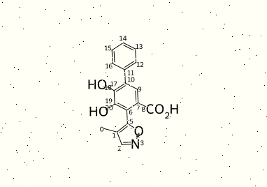 Cc1cnoc1-c1c(C(=O)O)cc(-c2ccccc2)c(O)c1O